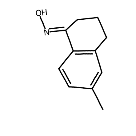 Cc1ccc2c(c1)CCCC2=NO